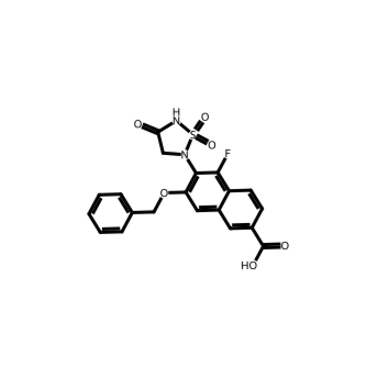 O=C1CN(c2c(OCc3ccccc3)cc3cc(C(=O)O)ccc3c2F)S(=O)(=O)N1